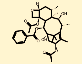 CC(=O)O[C@H]1C[C@@]2(O)[C@@H](OC(=O)c3ccccc3)C3[C@@](C)([C@@H](C)C[C@H]4OC[C@@]34OC(C)=O)[C@@H](O)[C@H](C)C(=C1C)C2(C)C